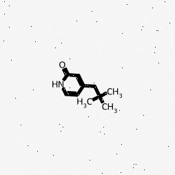 CC(C)(C)Cc1cc[nH]c(=O)c1